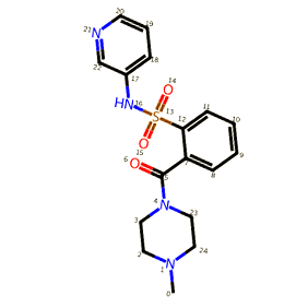 CN1CCN(C(=O)c2ccccc2S(=O)(=O)Nc2cccnc2)CC1